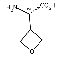 N[C@H](C(=O)O)C1COC1